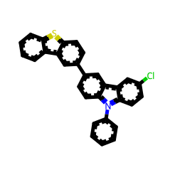 Clc1ccc2c(c1)c1cc(-c3ccc4sc5ccccc5c4c3)ccc1n2-c1ccccc1